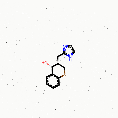 O[C@H]1c2ccccc2SC[C@@H]1Cc1ncc[nH]1